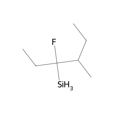 CCC(C)C(F)([SiH3])CC